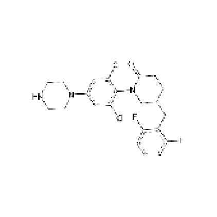 O=C1CCC(Cc2c(F)cccc2F)CN1c1c(Cl)cc(N2CCNCC2)cc1Cl